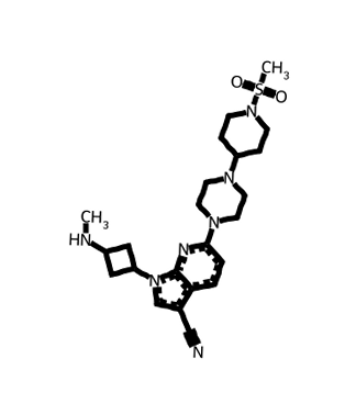 CNC1CC(n2cc(C#N)c3ccc(N4CCN(C5CCN(S(C)(=O)=O)CC5)CC4)nc32)C1